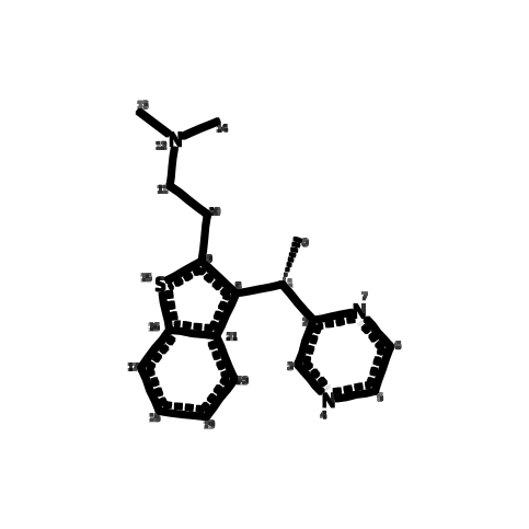 C[C@H](c1cnccn1)c1c(CCN(C)C)sc2ccccc12